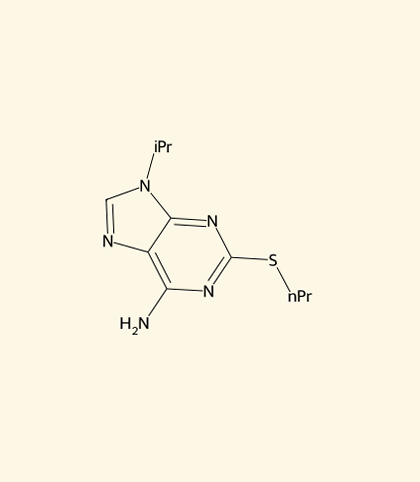 CCCSc1nc(N)c2ncn(C(C)C)c2n1